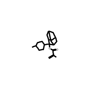 C=C(C)C(=O)OC1(C2CCC(C)CC2)C2CC3CC(C2)CC1C3